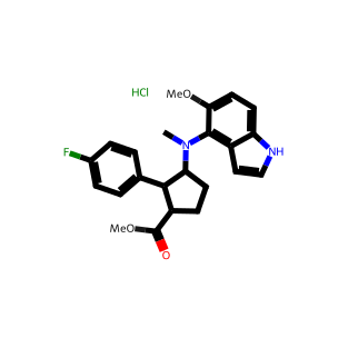 COC(=O)C1CCC(N(C)c2c(OC)ccc3[nH]ccc23)C1c1ccc(F)cc1.Cl